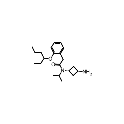 CCCC(CC)Oc1ccccc1CC(=O)N(C(C)C)[C@H]1C[C@H](N)C1